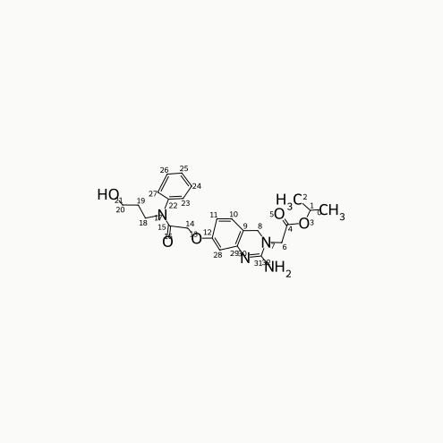 CC(C)OC(=O)CN1Cc2ccc(OCC(=O)N(CCCO)c3ccccc3)cc2N=C1N